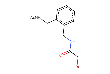 CC(=O)NCc1ccccc1CNC(=O)CBr